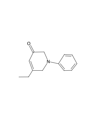 CCC1=CC(=O)CN(c2ccccc2)C1